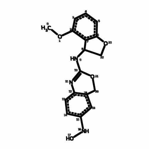 COc1cccc2c1C(NC1=Nc3ccc(NO)cc3CO1)CO2